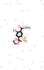 CCc1cc2c(cc1C(=O)OC)S(=O)(=O)CC21OCCO1